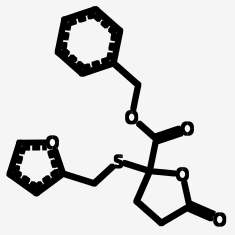 O=C1CCC(SCc2ccco2)(C(=O)OCc2ccccc2)O1